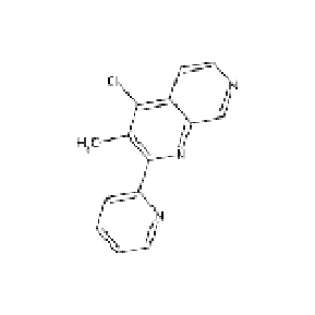 Cc1c(-c2ccccn2)nc2cnccc2c1Cl